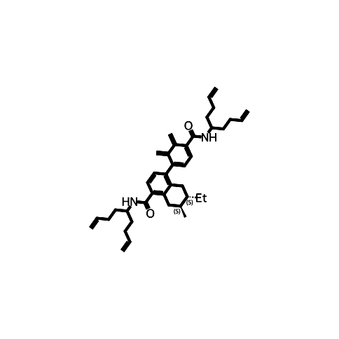 C=CCCC(CCC=C)NC(=O)c1ccc(-c2ccc(C(=O)NC(CCC=C)CCC=C)c(=C)c2=C)c2c1C[C@H](C)[C@@H](CC)C2